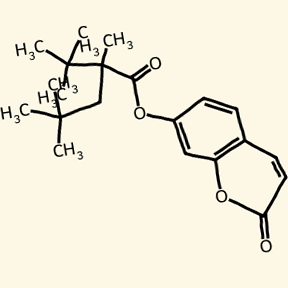 CC(C)(C)CC(C)(C(=O)Oc1ccc2ccc(=O)oc2c1)C(C)(C)C